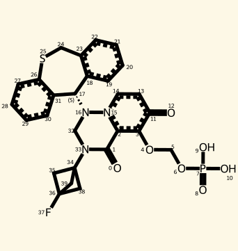 O=C1c2c(OCOP(=O)(O)O)c(=O)ccn2N([C@H]2c3ccccc3CSc3ccccc32)CN1C12CC(F)(C1)C2